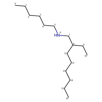 CCCCCCNCC(CC)CCCCCC